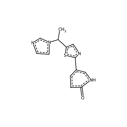 CC(c1cnc(-c2ccc(=O)[nH]c2)s1)n1ccnc1